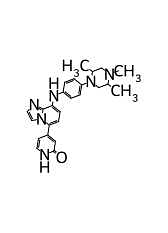 CC1CN(c2ccc(Nc3ccc(-c4cc[nH]c(=O)c4)n4ccnc34)cc2)C(C)CN1C